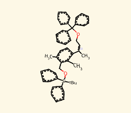 C/C(=C/COC(c1ccccc1)(c1ccccc1)c1ccccc1)c1ccc(C)c(CO[Si](c2ccccc2)(c2ccccc2)C(C)(C)C)c1C